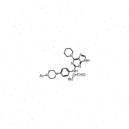 CC(=O)N1CCN(c2ccc(Nc3nc(N4CCCCC4)c4nc[nH]c4n3)cc2)CC1.CCC(C)OC=O